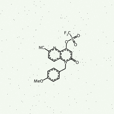 COc1ccc(Cn2c(=O)cc(OS(=O)(=O)C(F)(F)F)c3nc(C#N)ccc32)cc1